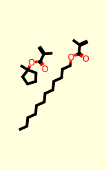 C=C(C)C(=O)OC1(C)CCCC1.C=C(C)C(=O)OCCCCCCCCCCCC